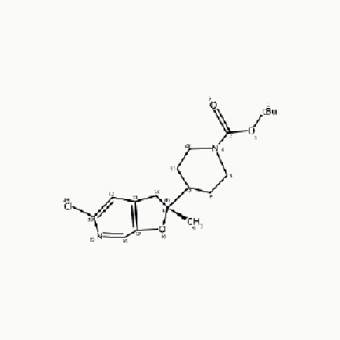 CC(C)(C)OC(=O)N1CCC([C@@]2(C)Cc3cc(Cl)ncc3O2)CC1